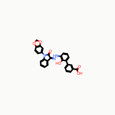 O=C(O)c1cccc(-c2cccc(NN=C3C(=O)N(c4ccc5c(c4)OCO5)c4ccccc43)c2O)c1